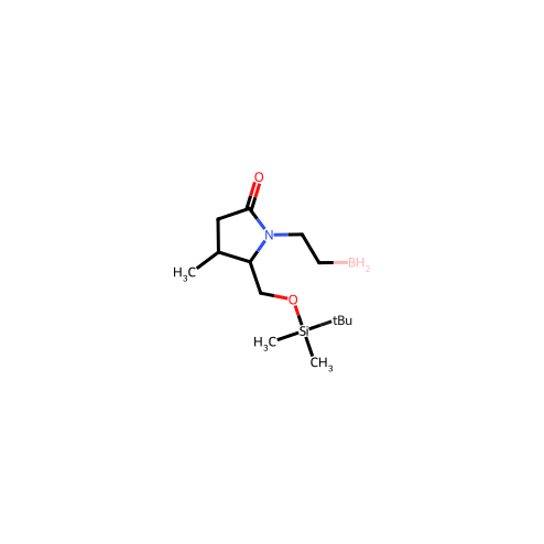 BCCN1C(=O)CC(C)C1CO[Si](C)(C)C(C)(C)C